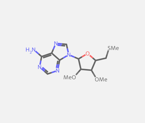 COC1C(CSC)OC(n2cnc3c(N)ncnc32)C1OC